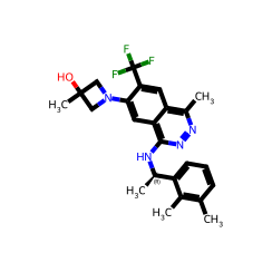 Cc1cccc([C@@H](C)Nc2nnc(C)c3cc(C(F)(F)F)c(N4CC(C)(O)C4)cc23)c1C